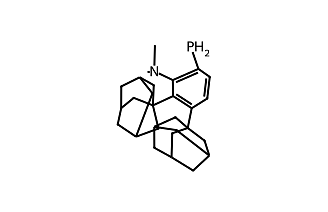 CN(C)c1c(P)ccc(C23CC4CC(CC(C4)C2)C3)c1C12CC3CC(CC(C3)C1)C2